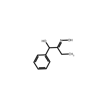 CC/C(=N\O)C(O)c1ccccc1